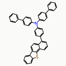 c1ccc(-c2ccc(N(c3ccc(-c4ccccc4)cc3)c3ccc(-c4cccc5c4ccc4c6ccccc6sc54)cc3)cc2)cc1